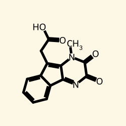 CN1C(=O)C(=O)N=C2C1=C(CC(=O)O)c1ccccc12